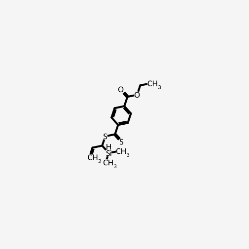 C=CC(SC(=S)c1ccc(C(=O)OCC)cc1)[SiH](C)C